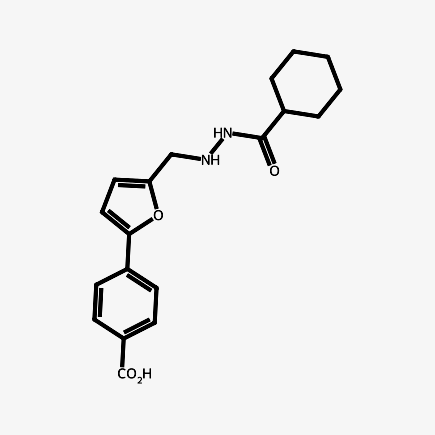 O=C(O)c1ccc(-c2ccc(CNNC(=O)C3CCCCC3)o2)cc1